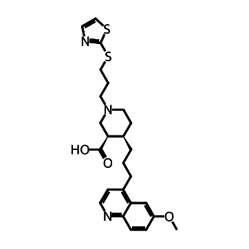 COc1ccc2nccc(CCC[C@@H]3CCN(CCCSc4nccs4)C[C@@H]3C(=O)O)c2c1